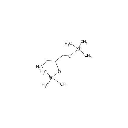 C[Si](C)(C)OCC(CN)O[Si](C)(C)C